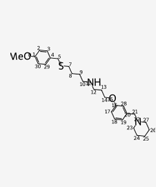 COc1ccc(CSCCCCNCCCOc2cccc(CN3CCCCC3)c2)cc1